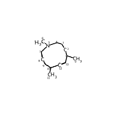 CC1CCCN(C)CCCC(C)CC1